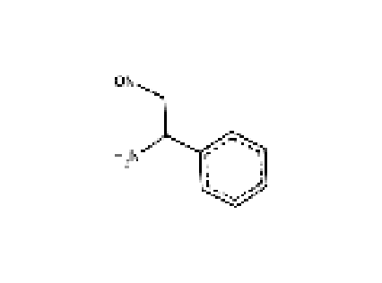 NC(CN=O)c1ccccc1